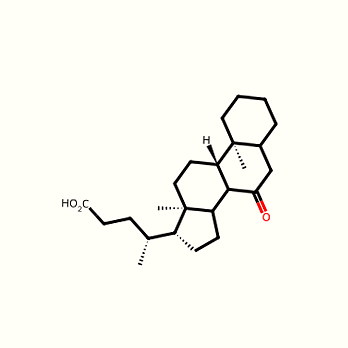 C[C@H](CCC(=O)O)[C@H]1CCC2C3C(=O)CC4CCCC[C@]4(C)[C@H]3CC[C@@]21C